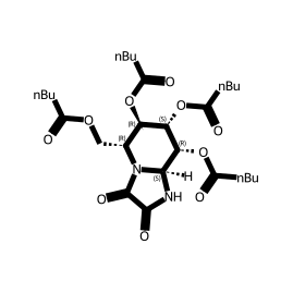 CCCCC(=O)OC[C@@H]1[C@@H](OC(=O)CCCC)[C@H](OC(=O)CCCC)[C@H](OC(=O)CCCC)[C@H]2NC(=O)C(=O)N12